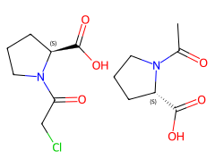 CC(=O)N1CCC[C@H]1C(=O)O.O=C(O)[C@@H]1CCCN1C(=O)CCl